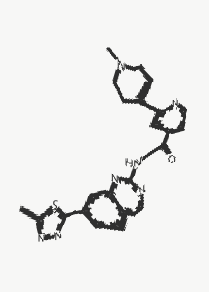 Cc1nnc(-c2ccc3cnc(NC(=O)c4ccnc(C5=CCN(C)CC5)c4)nc3c2)s1